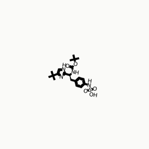 CC(C)(C)OC(=O)N[C@@H](Cc1ccc(NS(=O)(=O)O)cc1)c1nc(C(C)(C)C)c[nH]1